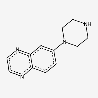 c1cnc2cc(N3CCNCC3)ccc2n1